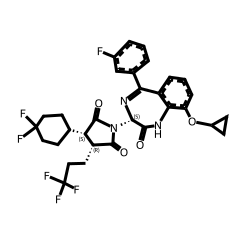 O=C1Nc2c(OC3CC3)cccc2C(c2cccc(F)c2)=N[C@H]1N1C(=O)[C@H](CCC(F)(F)F)[C@H](C2CCC(F)(F)CC2)C1=O